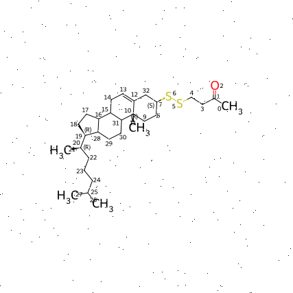 CC(=O)CCSS[C@H]1CC[C@@]2(C)C(=CCC3C4CC[C@H]([C@H](C)CCCC(C)C)C4CCC32)C1